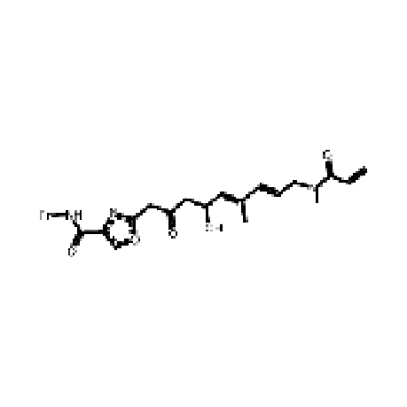 C=CC(=O)NC/C=C/C(C)=C/C(O)CC(=O)Cc1nc(C(=O)NCC)co1